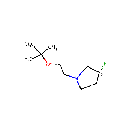 CC(C)(C)OCCN1CC[C@@H](F)C1